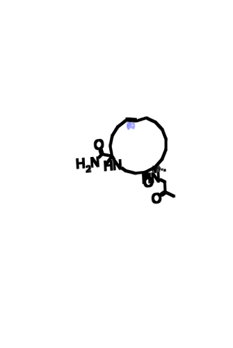 CC(=O)CN[C@]1(C)CCCCCC/C=C/CCCC(C)(C(N)=O)NCCC1=O